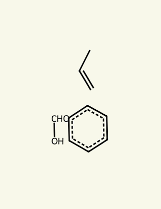 C=CC.O=CO.c1ccccc1